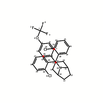 FC(F)(F)Oc1ccc(C2CC3CCC(C2)N3C(c2ccccc2Cl)c2ccccc2Cl)cc1